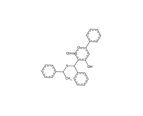 CC(SC(c1ccccc1)c1c(O)cc(-c2ccccc2)oc1=O)c1ccccc1